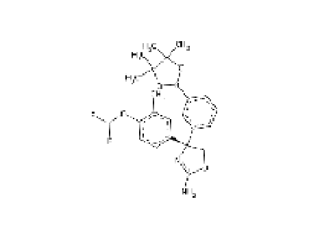 Cc1cc([C@@]2(c3cccc(B4OC(C)(C)C(C)(C)O4)c3)COC(N)=N2)ccc1OC(F)F